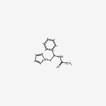 CC(=O)NC(C[SH]1C=CC=C1)c1ccccc1